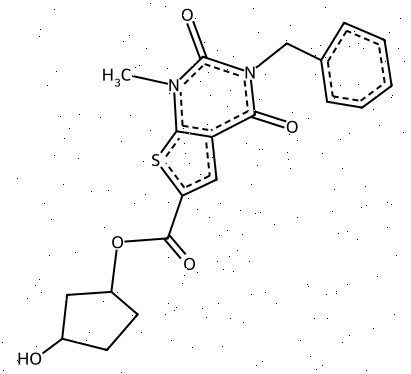 Cn1c(=O)n(Cc2ccccc2)c(=O)c2cc(C(=O)OC3CCC(O)C3)sc21